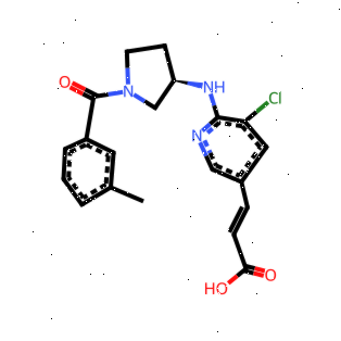 Cc1cccc(C(=O)N2CC[C@@H](Nc3ncc(C=CC(=O)O)cc3Cl)C2)c1